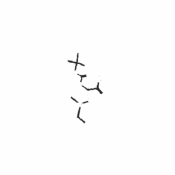 CCN(C)C[C@H](NC(=O)OC(C)(C)C)C(=O)O